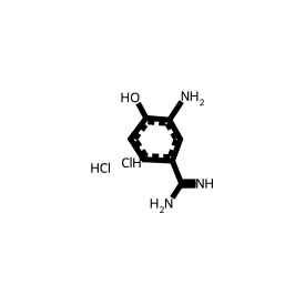 Cl.Cl.N=C(N)c1ccc(O)c(N)c1